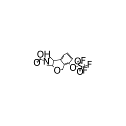 O=C(O)N1CC2OCc3c(OS(=O)(=O)C(F)(F)F)cccc3C2C1